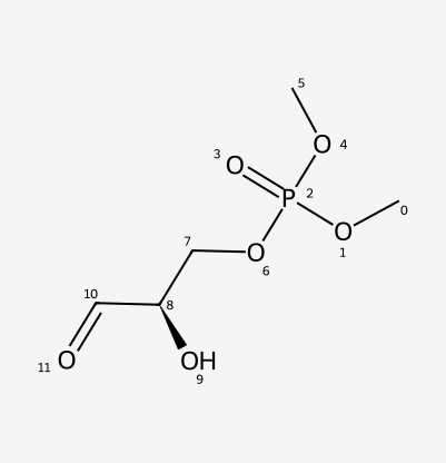 COP(=O)(OC)OC[C@@H](O)C=O